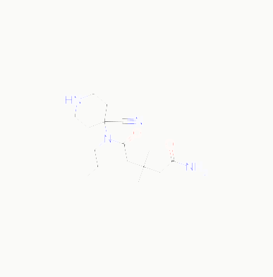 CCCN(C(=O)CC(C)(C)CC(N)=O)C1(C#N)CCNCC1